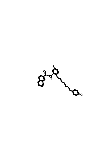 Cc1ccc(CCCCCCCc2ccc(Cl)cc2)c([C@@H]2O[C@H]2C(=O)c2ccc3ccccc3c2)c1